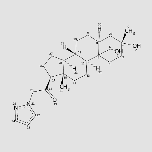 C[C@@]1(O)CCC2(CO)[C@@H](CC[C@@H]3[C@@H]2CC[C@]2(C)[C@@H](C(=O)Cn4cccn4)CC[C@@H]32)C1